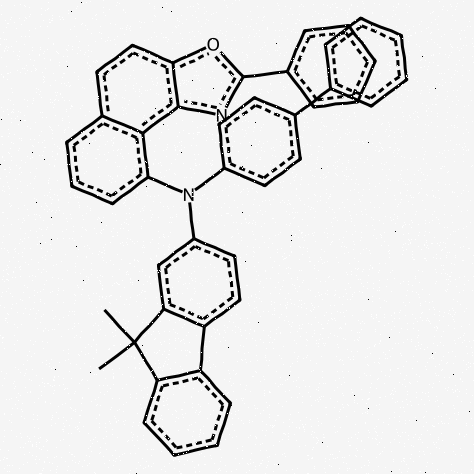 CC1(C)c2ccccc2-c2ccc(N(c3ccc(-c4ccccc4)cc3)c3cccc4ccc5oc(-c6ccccc6)nc5c34)cc21